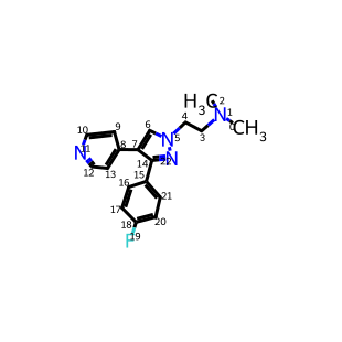 CN(C)CCn1cc(-c2ccncc2)c(-c2ccc(F)cc2)n1